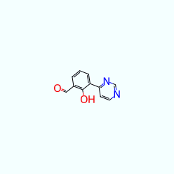 O=Cc1cccc(-c2ccncn2)c1O